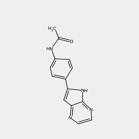 CC(=O)Nc1ccc(-c2cc3nccnc3[nH]2)cc1